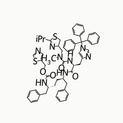 CC(C)C1=NC(CN(C)C(=O)N[C@@H](Cc2cn(C(c3ccccc3)(c3ccccc3)c3ccccc3)cn2)C(=O)N[C@H](CC[C@H](Cc2ccccc2)NC(=O)OCc2cncs2)Cc2ccccc2)CS1